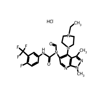 CCN1CCN(c2c(N(C=O)C(=O)Nc3ccc(F)c(C(F)(F)F)c3)cnc3c2c(C)nn3C)CC1.Cl